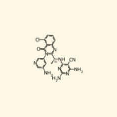 C[C@H](Nc1nc(N)nc(N)c1C#N)c1nc2cccc(Cl)c2c(=O)n1-c1cncc(N)c1